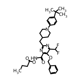 CCCC(=O)ONC(=O)c1nc(CC2CCN(c3ccc(C(C)(C)C)cc3)CC2)nc(C(F)F)c1OCc1ccccc1